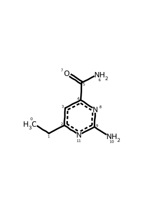 CCc1cc(C(N)=O)nc(N)n1